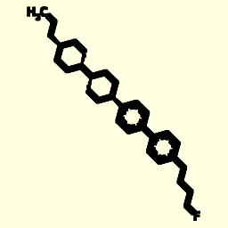 CCC[C@H]1CC[C@H]([C@H]2CC[C@H](c3ccc(-c4ccc(CCCCF)cc4)cc3)CC2)CC1